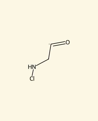 O=[C]CNCl